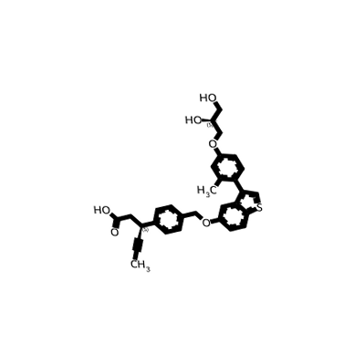 CC#C[C@@H](CC(=O)O)c1ccc(COc2ccc3scc(-c4ccc(OC[C@@H](O)CO)cc4C)c3c2)cc1